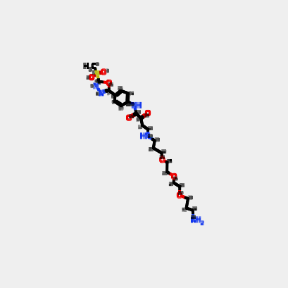 CS(=O)(=O)c1nnc(-c2ccc(NC(=O)C(=O)CCNCCCOCCOCCOCCCN)cc2)o1